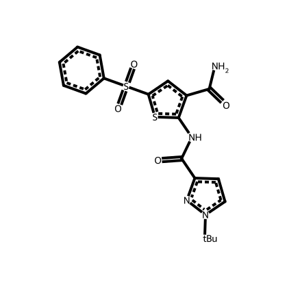 CC(C)(C)n1ccc(C(=O)Nc2sc(S(=O)(=O)c3ccccc3)cc2C(N)=O)n1